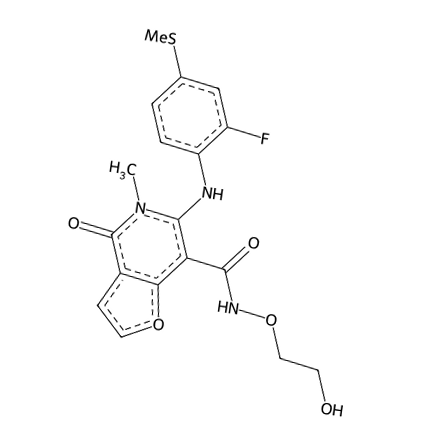 CSc1ccc(Nc2c(C(=O)NOCCO)c3occc3c(=O)n2C)c(F)c1